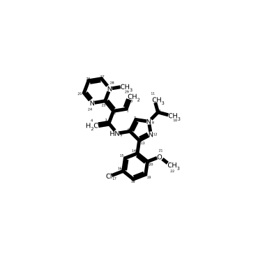 C=C/C(C(=C)Nc1cn(C(C)C)nc1-c1cc(Cl)ccc1OC)=C1/N=CC=CN1C